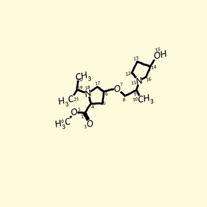 COC(=O)C1CC(OCC(C)N2CCC(O)C2)CN1C(C)C